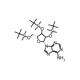 CC(C)(C)[Si](C)(C)OC[C@H]1O[C@@H](n2cnc3c(N)ncnc32)C(O[Si](C)(C)C(C)(C)C)C1O[Si](C)(C)C(C)(C)C